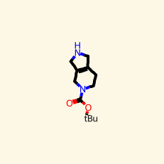 CC(C)(C)OC(=O)N1CCC2=C(CNC2)C1